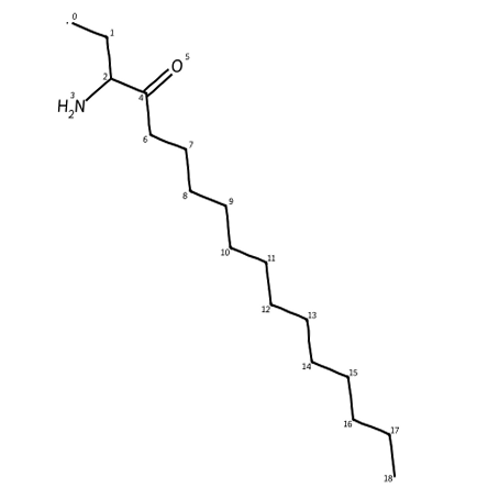 [CH2]CC(N)C(=O)CCCCCCCCCCCCC